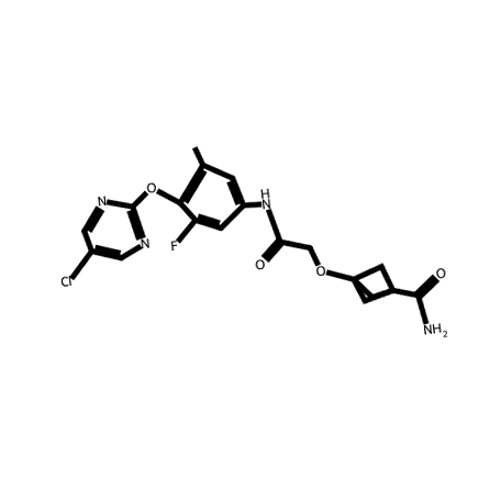 Cc1cc(NC(=O)COC23CC(C(N)=O)(C2)C3)cc(F)c1Oc1ncc(Cl)cn1